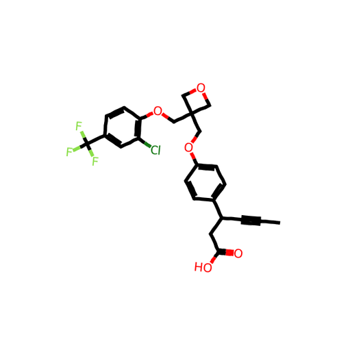 CC#CC(CC(=O)O)c1ccc(OCC2(COc3ccc(C(F)(F)F)cc3Cl)COC2)cc1